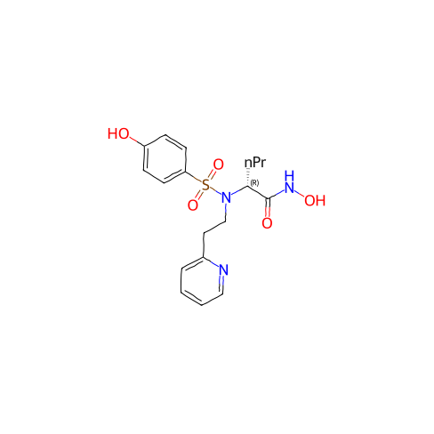 CCC[C@H](C(=O)NO)N(CCc1ccccn1)S(=O)(=O)c1ccc(O)cc1